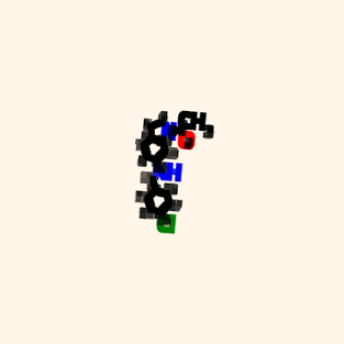 CC(=O)N1CCc2ccc(NCc3ccc(Cl)cc3)cc21